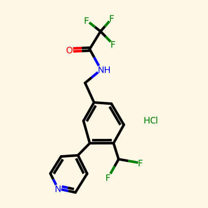 Cl.O=C(NCc1ccc(C(F)F)c(-c2ccncc2)c1)C(F)(F)F